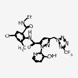 CCNC(=O)c1cc(Cl)cc(C)c1NC(=O)c1cc(Cn2nnc(C(F)(F)F)n2)nn1-c1ncccc1O